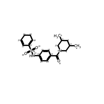 CC1CC(C)CN(C(=O)c2ccc(NS(=O)(=O)C3=CCCC=C3)cc2)C1